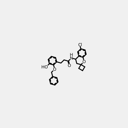 O=C(CCc1cccc(O)c1OCc1ccccc1)NC1CC2(CCC2)Oc2ccc(Cl)cc21